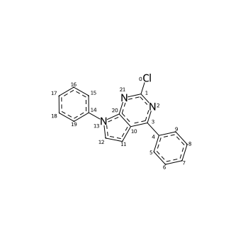 Clc1nc(-c2ccccc2)c2ccn(-c3ccccc3)c2n1